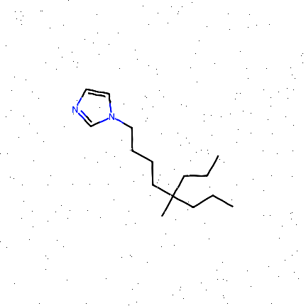 CCCC(C)(CCC)CCCCn1ccnc1